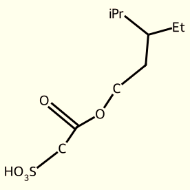 CCC(CCOC(=O)CS(=O)(=O)O)C(C)C